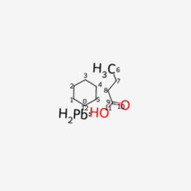 C1CCCCC1.CCCC(=O)O.[PbH2]